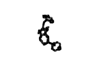 NC(=O)Cc1nc2ccc(N3CCOCC3)cc2s1